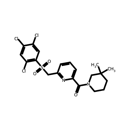 CC1(C)CCCN(C(=O)c2cccc(CS(=O)(=O)c3cc(Cl)c(Cl)cc3Cl)n2)C1